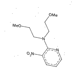 COCCN(CCOC)c1ncccc1[N+](=O)[O-]